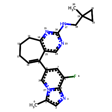 Cc1cnc2c(F)cc(C3=CCCCc4nc(NCC5(C)CC5)ncc43)cn12